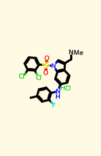 CNCc1cn(S(=O)(=O)c2cccc(Cl)c2Cl)c2cc(Nc3ccc(C)cc3F)ccc12.Cl